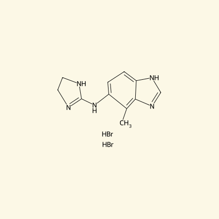 Br.Br.Cc1c(NC2=NCCN2)ccc2[nH]cnc12